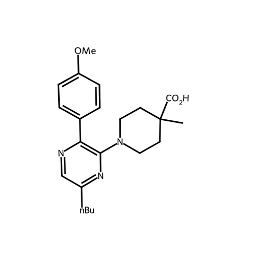 CCCCc1cnc(-c2ccc(OC)cc2)c(N2CCC(C)(C(=O)O)CC2)n1